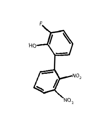 O=[N+]([O-])c1cccc(-c2cccc(F)c2O)c1[N+](=O)[O-]